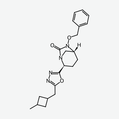 CC1CC(Cc2nnc([C@@H]3CC[C@@H]4CN3C(=O)N4OCc3ccccc3)o2)C1